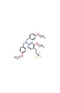 COc1ccc(CN(Cc2ccc(OC)cc2)c2ncc(CCC(F)(F)F)c(OC)n2)cc1